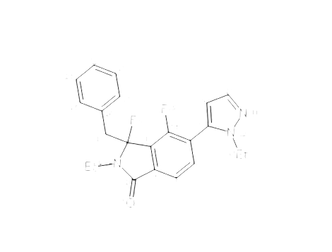 CCN1C(=O)c2ccc(-c3ccnn3CC)c(F)c2C1(F)Cc1ccccc1